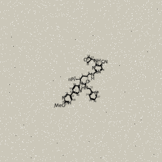 CCC[C@@H](CCCNc1ncc(C#N)c(NC2COC2)n1)N(C(=O)NCc1ccccn1)c1ccc(-c2cnc(OC)nc2)cn1